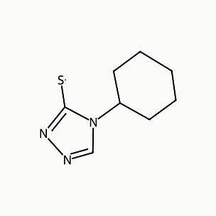 [S]c1nncn1C1CCCCC1